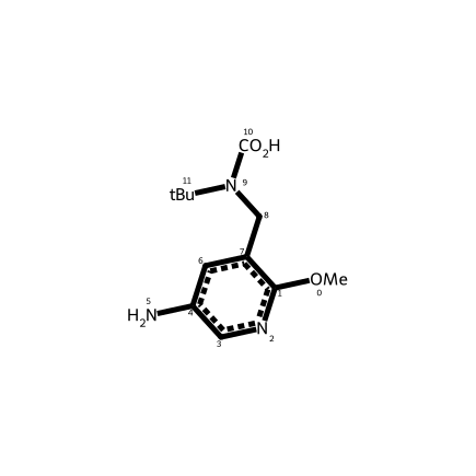 COc1ncc(N)cc1CN(C(=O)O)C(C)(C)C